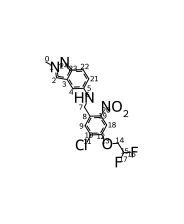 Cn1cc2cc(NCc3cc(Cl)c(OCC(F)F)cc3[N+](=O)[O-])ccc2n1